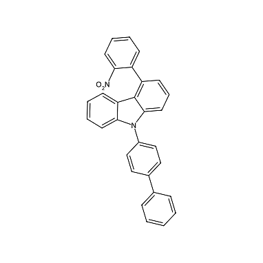 O=[N+]([O-])c1ccccc1-c1cccc2c1c1ccccc1n2-c1ccc(-c2ccccc2)cc1